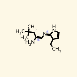 CCC1C=CN/C1=N/C=C(/N)CC(C)(C)C